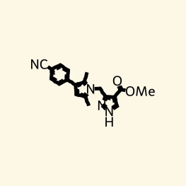 COC(=O)c1c[nH]nc1Cn1c(C)cc(-c2ccc(C#N)cc2)c1C